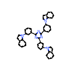 c1cc(-c2nc(-c3cccc(-n4ccc5ccccc54)c3)nc(-c3cccc(-n4ccc5ccccc54)c3)n2)cc(-n2ccc3ccccc32)c1